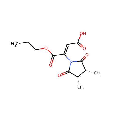 CCCOC(=O)/C(=C/C(=O)O)N1C(=O)[C@@H](C)[C@@H](C)C1=O